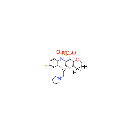 O=C(O)c1c(N(c2ccc(F)cc2C2CC2CN2CCCC2)[SH](=O)=O)ccc2c1OC[C@@H]1C[C@H]21